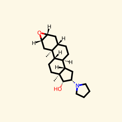 C[C@]12C[C@@H]3O[C@@H]3C[C@@H]1CC[C@@H]1[C@@H]2CC[C@]2(C)[C@@H](O)[C@@H](N3CCCC3)C[C@@H]12